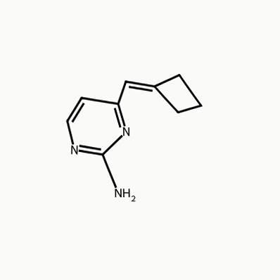 Nc1nccc(C=C2CCC2)n1